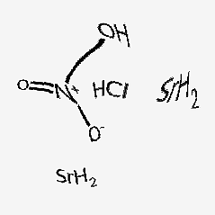 Cl.O=[N+]([O-])O.[SrH2].[SrH2]